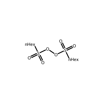 CCCCCCS(=O)(=O)OOS(=O)(=O)CCCCCC